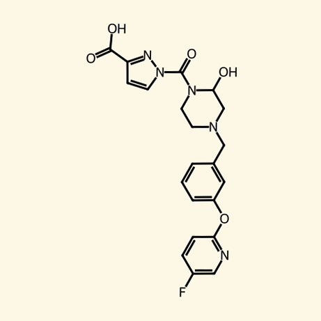 O=C(O)c1ccn(C(=O)N2CCN(Cc3cccc(Oc4ccc(F)cn4)c3)CC2O)n1